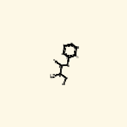 C[C](CF)C(F)Cc1ccccc1